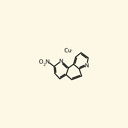 O=[N+]([O-])c1ccc2ccc3ncccc3c2n1.[Cu]